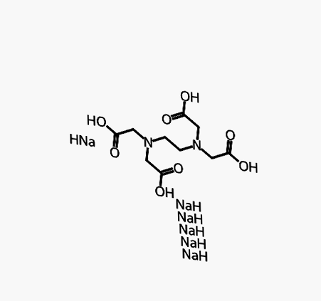 O=C(O)CN(CCN(CC(=O)O)CC(=O)O)CC(=O)O.[NaH].[NaH].[NaH].[NaH].[NaH].[NaH]